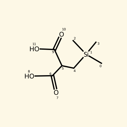 C[Si](C)(C)CC(C(=O)O)C(=O)O